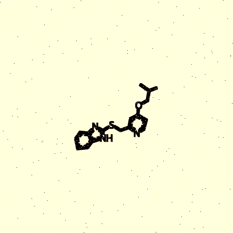 CC(C)COc1ccnc(CSc2nc3ccccc3[nH]2)c1